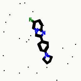 Fc1ccc2nc(-c3ccc(N4CCCC4)cc3)cn2c1